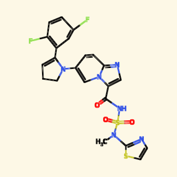 CN(c1nccs1)S(=O)(=O)NC(=O)c1cnc2ccc(N3CCC=C3c3cc(F)ccc3F)cn12